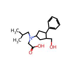 CC(C)CN(CC(=O)O)C1CC(CO)C(c2ccccc2)C1